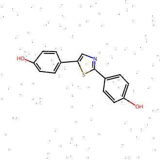 Oc1ccc(-c2cnc(-c3ccc(O)cc3)s2)cc1